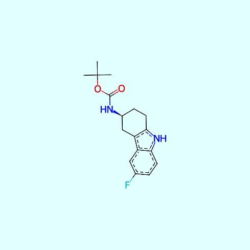 CC(C)(C)OC(=O)N[C@H]1CCc2[nH]c3ccc(F)cc3c2C1